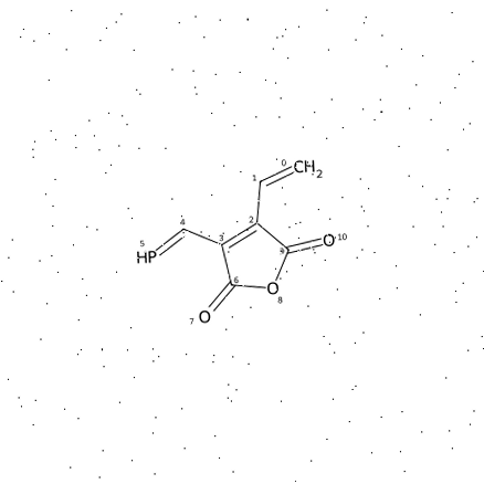 C=CC1=C(C=P)C(=O)OC1=O